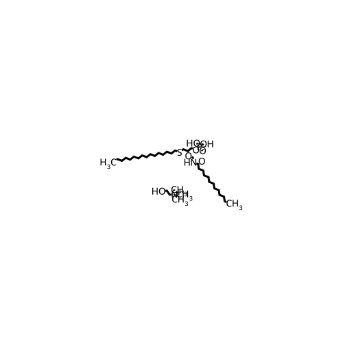 CCCCCCCCCCCCCCCCSCC(COP(=O)(O)O)OCNC(=O)CCCCCCCCCCCC.C[N+](C)(C)CCO